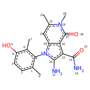 Cc1ccc(O)c(C)c1-n1c(N)c(C(N)=O)c2c(=O)n(C)c(C)cc21